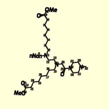 CCCCCCCCCN(CCCCCCCC(=O)OC)CCN(CCCCCCCC(=O)OC)CC(=O)N1CCN(C)CC1